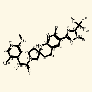 COc1cc([C@@H](C)C(=O)N2CCC3(CCc4cc(-c5nc(C(F)(F)F)n(C)n5)c(C)nc4N3)C2)c(Cl)cn1